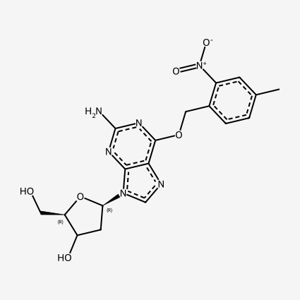 Cc1ccc(COc2nc(N)nc3c2ncn3[C@H]2CC(O)[C@@H](CO)O2)c([N+](=O)[O-])c1